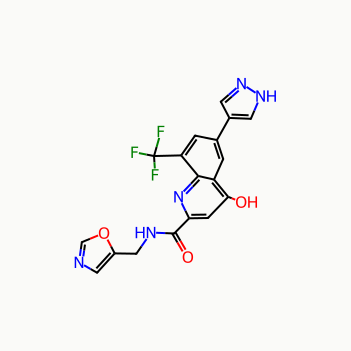 O=C(NCc1cnco1)c1cc(O)c2cc(-c3cn[nH]c3)cc(C(F)(F)F)c2n1